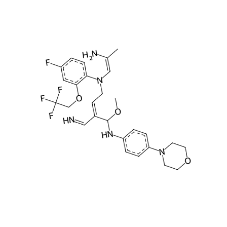 COC(Nc1ccc(N2CCOCC2)cc1)/C(C=N)=C\CN(/C=C(/C)N)c1ccc(F)cc1OCC(F)(F)F